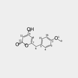 COc1ccc(Cc2cc(O)cc(=O)o2)cc1